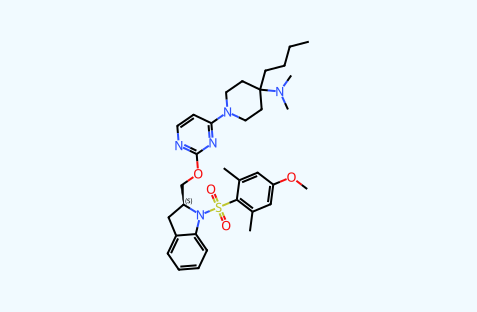 CCCCC1(N(C)C)CCN(c2ccnc(OC[C@@H]3Cc4ccccc4N3S(=O)(=O)c3c(C)cc(OC)cc3C)n2)CC1